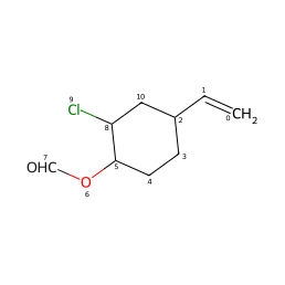 C=CC1CCC(OC=O)C(Cl)C1